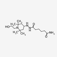 CC1(C)CC(NNC(=O)CCCCC(N)=O)CC(C)(C)N1CCO